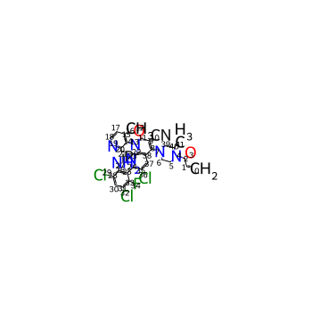 C=CC(=O)N1CCN(c2c(C#N)c(=O)n(-c3c(C)ccnc3C(C)C)c3nc(-c4c(N)c(Cl)cc(Cl)c4F)c(Cl)cc23)CC1C